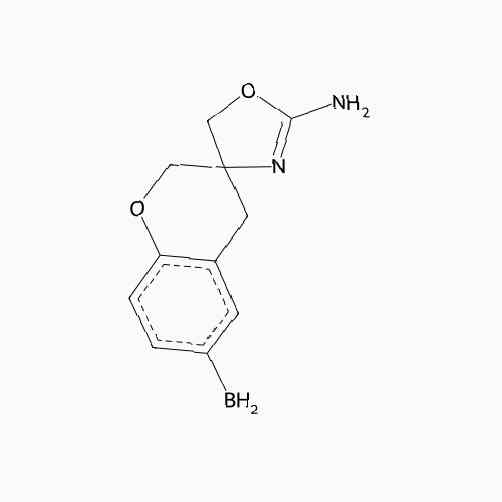 Bc1ccc2c(c1)CC1(COC(N)=N1)CO2